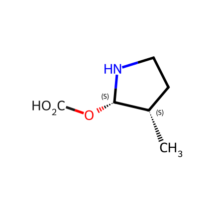 C[C@H]1CCN[C@H]1OC(=O)O